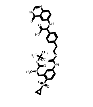 CN(Cc1cc(NC(=O)OCCc2ccc(C(Nc3ccc4nc[nH]c(=O)c4c3)C(=O)O)cc2)ccc1S(=O)(=O)C1CC1)C(=O)OC(C)(C)C